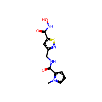 Cn1cccc1C(=O)NCc1cc(C(=O)NO)sn1